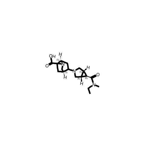 CCN(C)C(=O)[C@H]1[C@@H]2CN(C3C[C@@H]4CC[C@H]3CN4C(=O)O)C[C@@H]21